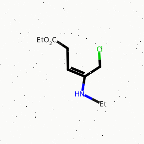 CCNC(=CCC(=O)OCC)CCl